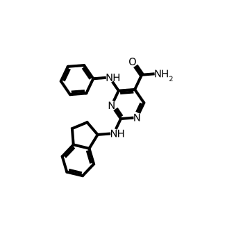 NC(=O)c1cnc(NC2CCc3ccccc32)nc1Nc1ccccc1